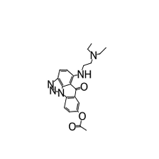 CCN(CC)CCNc1ccc2nnn3c4ccc(OC(C)=O)cc4c(=O)c1c23